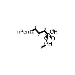 CCCCCCCCP(=O)(O)OPC